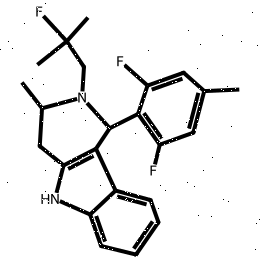 Cc1cc(F)c(C2c3c([nH]c4ccccc34)CC(C)N2CC(C)(C)F)c(F)c1